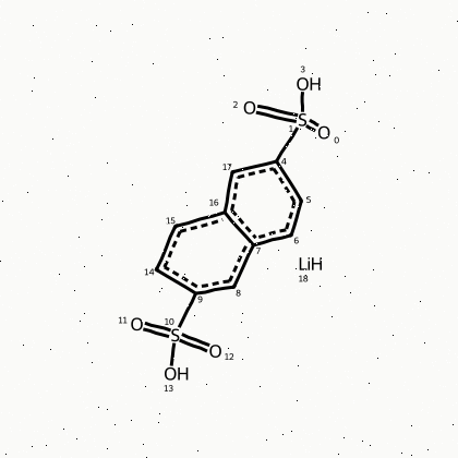 O=S(=O)(O)c1ccc2cc(S(=O)(=O)O)ccc2c1.[LiH]